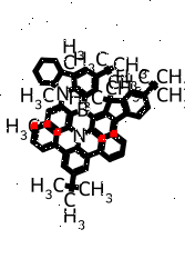 Cc1cc2c3c(c1)N1c4c(cc(C(C)(C)C)cc4C4(C)CCCCC14C)B3c1c(ccc3c1C(C)(C)c1cc(C(C)(C)C)ccc1-3)N2c1c(-c2ccccc2)cc(C(C)(C)C)cc1-c1ccccc1